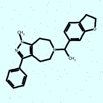 CC(c1ccc2c(c1)OCC2)N1CCc2c(-c3ccccc3)nn(C)c2CC1